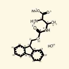 COC(=O)C(N)C(C)NC(=O)OCC1c2ccccc2-c2ccccc21.Cl